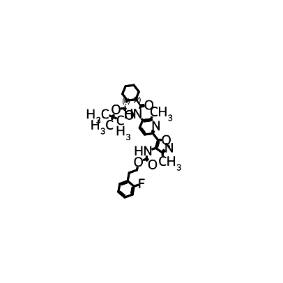 Cc1nc(-c2onc(C)c2NC(=O)OCCc2ccccc2F)ccc1NC(=O)[C@@H]1CCCC[C@H]1C(=O)OC(C)(C)C